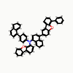 c1ccc(-c2cccc3c2oc2ccc(-c4ccc(N(c5ccc(-c6cccc7ccccc67)cc5)c5cccc6c5oc5ccccc56)c5ccccc45)cc23)cc1